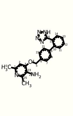 Cc1cc(OCc2ccc(-c3ccccc3-c3nnn[nH]3)cc2)c(N)c(C)n1